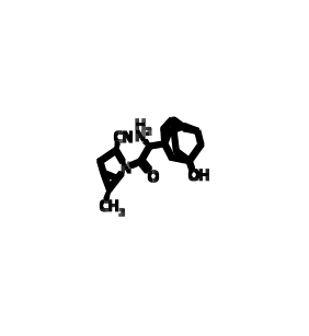 C[C@H]1C2C[C@@H](C#N)N(C(=O)[C@@H](N)C34CCC5CC(CC(O)(C5)C3)C4)C21